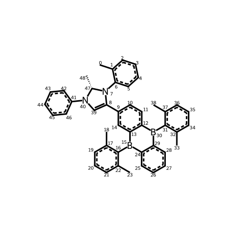 Cc1ccccc1N1C(c2ccc3c(c2)B(c2c(C)cccc2C)c2ccccc2B3c2c(C)cccc2C)=CN(c2ccccc2)[C@@H]1C